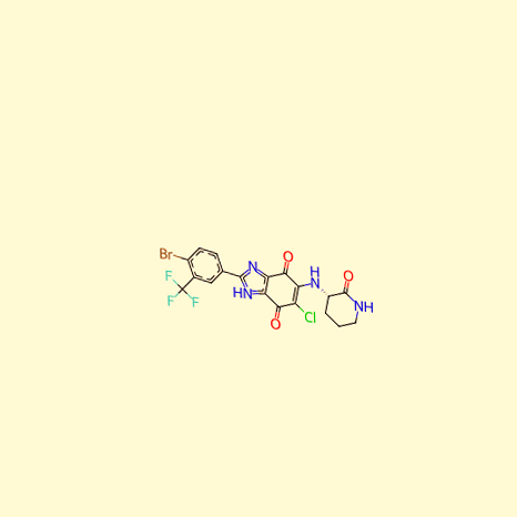 O=C1C(N[C@H]2CCCNC2=O)=C(Cl)C(=O)c2[nH]c(-c3ccc(Br)c(C(F)(F)F)c3)nc21